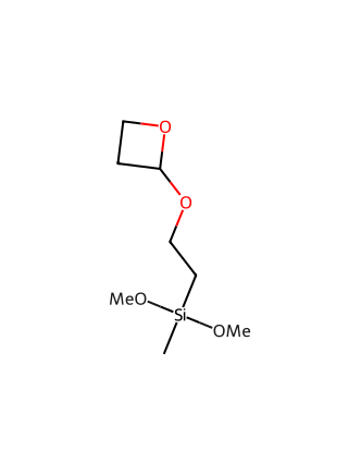 CO[Si](C)(CCOC1CCO1)OC